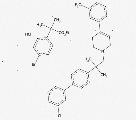 CC(C)(CN1CC=C(c2cccc(C(F)(F)F)c2)CC1)c1ccc(-c2cccc(Cl)c2)cc1.CCOC(=O)C(C)(C)c1ccc(Br)cc1.Cl